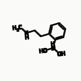 CNCCc1ccccc1[SiH](O)O